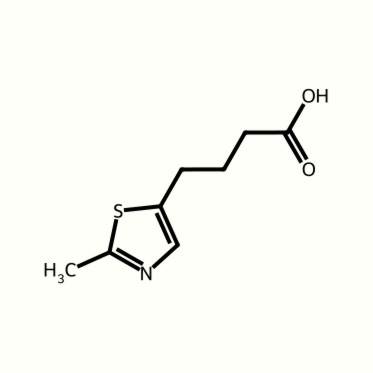 Cc1ncc(CCCC(=O)O)s1